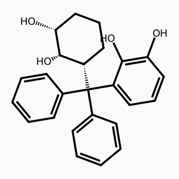 Oc1cccc(C(c2ccccc2)(c2ccccc2)[C@H]2CCC[C@@H](O)[C@H]2O)c1O